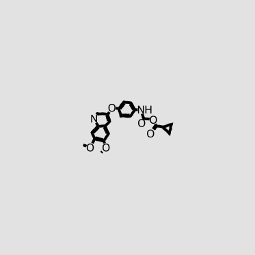 COc1cc2cc(Oc3ccc(NC(=O)OC(=O)C4CC4)cc3)cnc2cc1OC